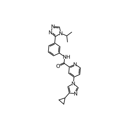 CC(C)n1cnnc1-c1cccc(NC(=O)c2cc(-n3cnc(C4CC4)c3)ccn2)c1